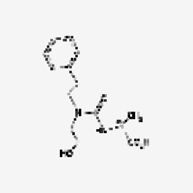 C[C@@H](NC(=O)N(CCO)CCc1ccccc1)C(=O)O